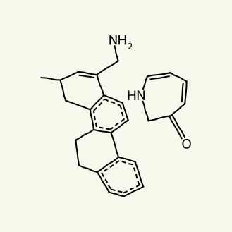 CC1C=C(CN)c2ccc3c(c2C1)CCc1ccccc1-3.O=C1C=CC=CNC1